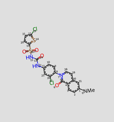 CNc1ccc2c(=O)n(-c3ccc(NC(=O)NS(=O)(=O)c4ccc(Cl)s4)cc3Cl)ccc2c1